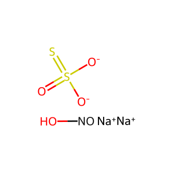 O=NO.O=S([O-])([O-])=S.[Na+].[Na+]